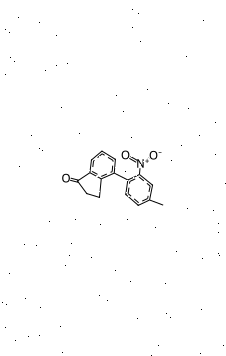 Cc1ccc(-c2cccc3c2CCC3=O)c([N+](=O)[O-])c1